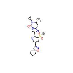 CCS(=O)(=O)c1cc(C2=NOC3(CCCC3)C2)cnc1-c1cn2c(=O)n(C3CC3)c(C(F)(F)F)cc2n1